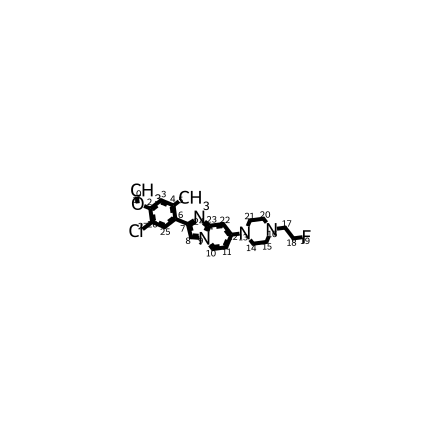 COc1cc(C)c(-c2cn3ccc(N4CCN(CCF)CC4)cc3n2)cc1Cl